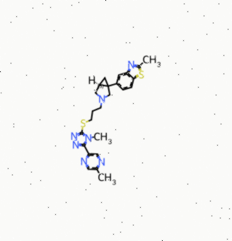 Cc1cnc(-c2nnc(SCCCN3C[C@H]4CC4(c4ccc5sc(C)nc5c4)C3)n2C)cn1